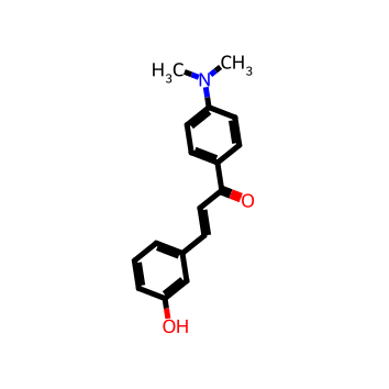 CN(C)c1ccc(C(=O)/C=C/c2cccc(O)c2)cc1